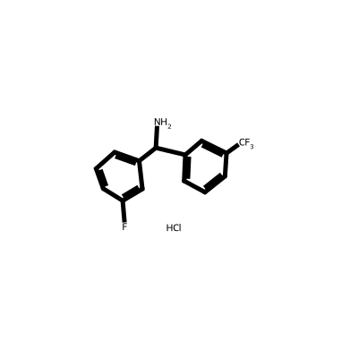 Cl.NC(c1cccc(F)c1)c1cccc(C(F)(F)F)c1